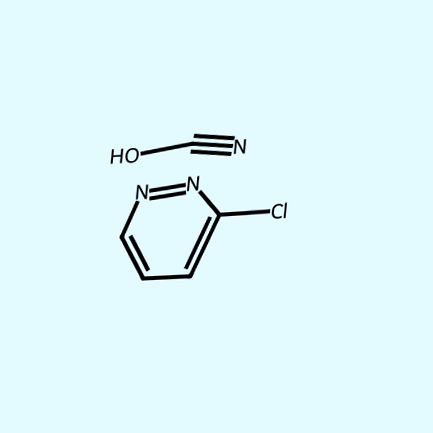 Clc1cccnn1.N#CO